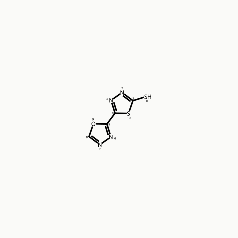 Sc1nnc(-c2nnco2)s1